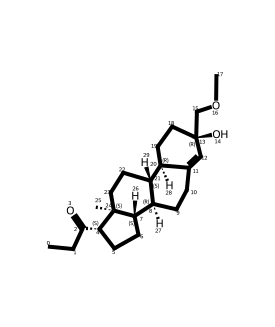 CCC(=O)[C@H]1CC[C@H]2[C@@H]3CCC4=C[C@@](O)(COC)CC[C@@H]4[C@H]3CC[C@]12C